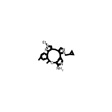 CCn1cc2c(n1)-c1ccc(C)cc1C(C)Oc1cc(cnc1N)-c1c(cnn1CC1CC1)C2